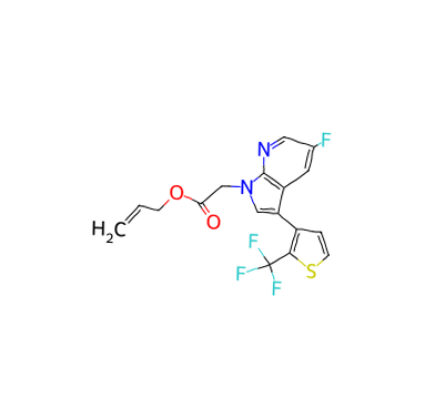 C=CCOC(=O)Cn1cc(-c2ccsc2C(F)(F)F)c2cc(F)cnc21